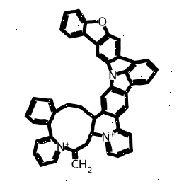 C=C1CC2C(CCc3ccccc3-c3cccc[n+]31)c1cc3c(cc1-c1cccc[n+]12)c1cccc2c4cc5oc6ccccc6c5cc4n3c12